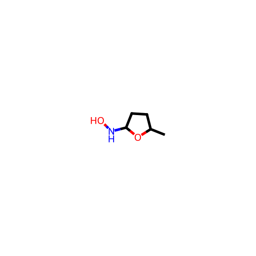 CC1CCC(NO)O1